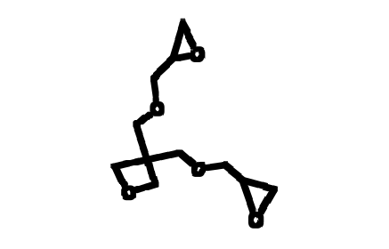 C(OCC1(COCC2CO2)COC1)C1CO1